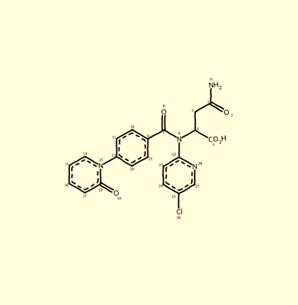 NC(=O)CC(C(=O)O)N(C(=O)c1ccc(-n2ccccc2=O)cc1)c1ccc(Cl)cn1